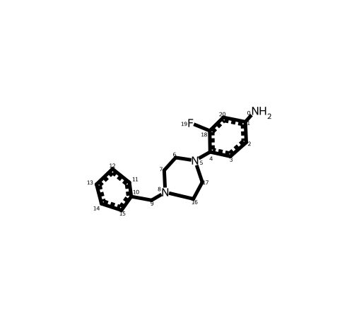 Nc1ccc(N2CCN(Cc3ccccc3)CC2)c(F)c1